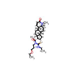 CCNC(=S)N(CCCOCC)C(=O)[C@H]1CC[C@H]2[C@@H]3CC[C@H]4N(C)C(=O)C=C[C@]4(C)[C@H]3CC[C@]12C